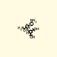 CC(C)(O)c1cc(Nc2nc(N3CCCC(N)C3)ncc2C(N)=O)cc(C(C)(C)O)c1